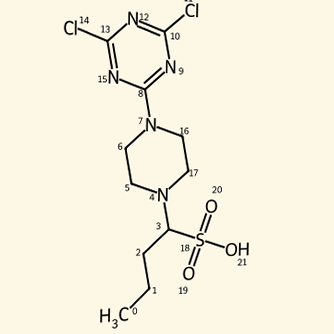 CCCC(N1CCN(c2nc(Cl)nc(Cl)n2)CC1)S(=O)(=O)O